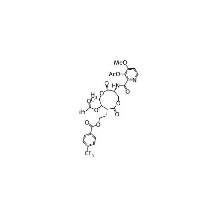 COc1ccnc(C(=O)N[C@H]2COC(=O)[C@H](CCOC(=O)c3ccc(C(F)(F)F)cc3)[C@@H](OC(=O)C(C)C)[C@H](C)OC2=O)c1OC(C)=O